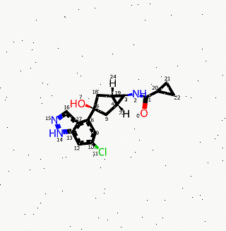 O=C(N[C@H]1[C@@H]2C[C@](O)(c3cc(Cl)cc4[nH]ncc34)C[C@@H]21)C1CC1